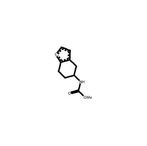 COC(=O)NC1CCc2sccc2C1